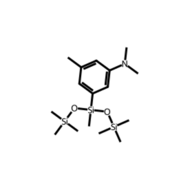 Cc1cc(N(C)C)cc([Si](C)(O[Si](C)(C)C)O[Si](C)(C)C)c1